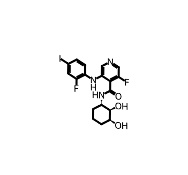 O=C(N[C@H]1CCC[C@H](O)[C@@H]1O)c1c(F)cncc1Nc1ccc(I)cc1F